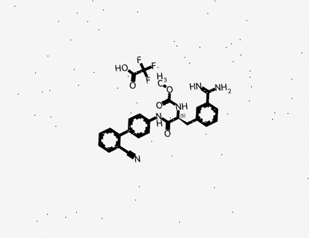 COC(=O)N[C@@H](Cc1cccc(C(=N)N)c1)C(=O)Nc1ccc(-c2ccccc2C#N)cc1.O=C(O)C(F)(F)F